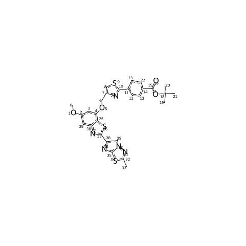 COc1cc(OCc2csc(-c3ccc(C(=O)OC(C)(C)C)cc3)n2)c2sc(-c3cn4nc(C)sc4n3)nc2c1